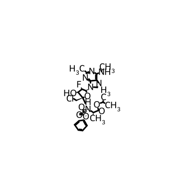 CNc1nc(C)nc2c1ncn2[C@@H]1O[C@](CCl)(CO[P@@](=O)(N[C@@H](C)C(=O)OC(C)C)Oc2ccccc2)[C@@H](O)[C@H]1F